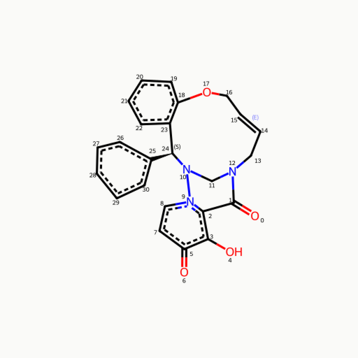 O=C1c2c(O)c(=O)ccn2N2CN1C/C=C/COc1ccccc1[C@@H]2c1ccccc1